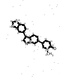 Cn1cc(-c2ccc3c(-c4ccc5scnc5c4)cnn3c2)ccc1=O